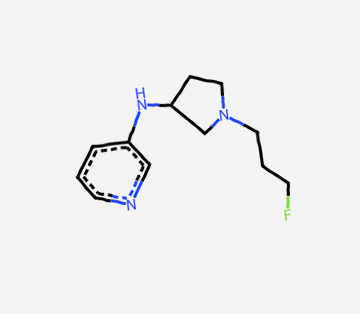 FCCCN1CCC(Nc2cccnc2)C1